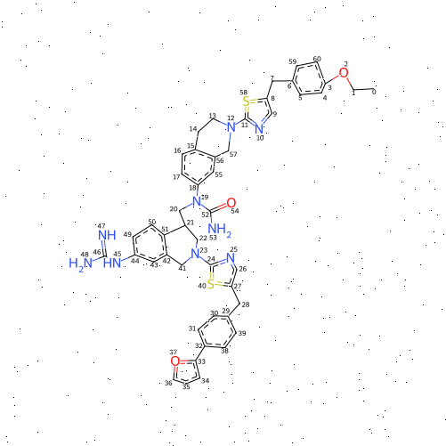 CCOc1ccc(Cc2cnc(N3CCc4ccc(N(CC5CN(c6ncc(Cc7ccc(-c8ccco8)cc7)s6)Cc6cc(NC(=N)N)ccc65)C(N)=O)cc4C3)s2)cc1